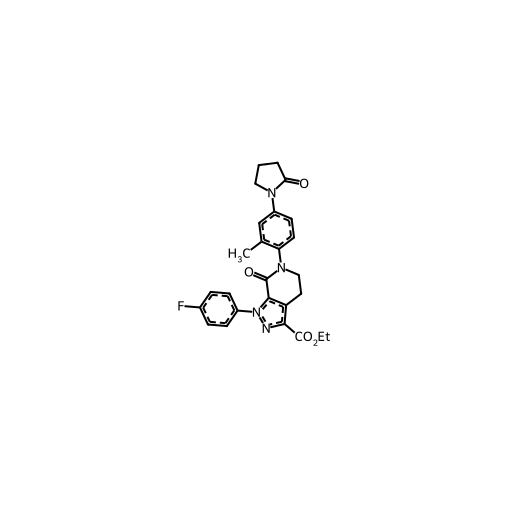 CCOC(=O)c1nn(-c2ccc(F)cc2)c2c1CCN(c1ccc(N3CCCC3=O)cc1C)C2=O